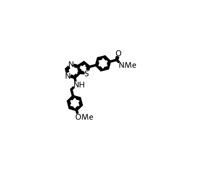 CNC(=O)c1ccc(-c2cc3ncnc(NCc4ccc(OC)cc4)c3s2)cc1